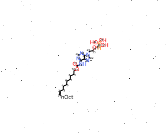 CCCCCCCC/C=C\CCCCCCCCOC(=O)NC1=NC=NC2C1N=CN2CCOC[PH](O)(O)O